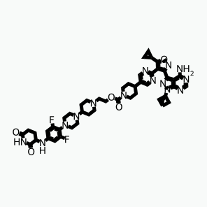 Nc1ncnc2c1c(-c1noc(C3CC3)c1-c1ncc(C3CCN(C(=O)OCCN4CCC(N5CCN(c6c(F)cc(NC7CCC(=O)NC7=O)cc6F)CC5)CC4)CC3)cn1)nn2C12CC(C1)C2